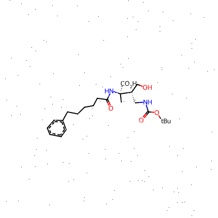 CC(C)(C)OC(=O)NC[C@@H](CO)[C@@](C)(NC(=O)CCCCCc1ccccc1)C(=O)O